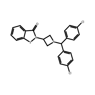 O=c1c2ccccc2sn1C1CN(C(c2ccc(Cl)cc2)c2ccc(Cl)cc2)C1